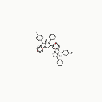 O=P1(C(c2ccc(Cl)cc2)N2CCOC(C3CN(c4ccccc4)P(=O)(C(c4ccc(F)cc4)N4CCOCC4)N3c3ccccc3)C2)N(c2ccccc2)CCN1c1ccccc1